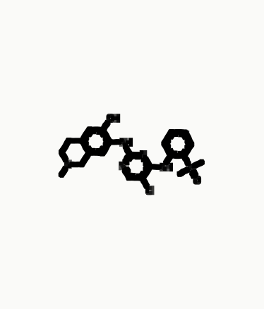 CN1CCc2cc(O)c(Nc3ncc(Cl)c(Nc4cc[c]cc4P(C)(C)=O)n3)cc2C1